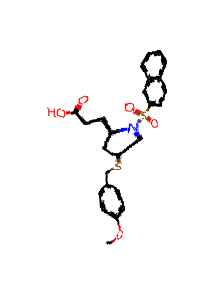 COc1ccc(CSC2CC(CCC(=O)O)N(S(=O)(=O)c3ccc4ccccc4c3)C2)cc1